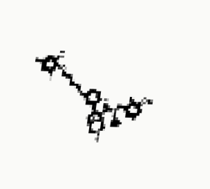 COc1cccc(CN(C(=O)C2=C(c3cccc(OCCCCOc4c(Cl)cc(C)cc4Cl)c3)CC3CNCC2N3)C2CC2)c1C